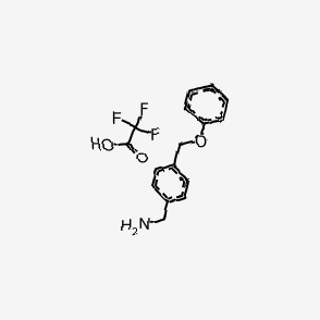 NCc1ccc(COc2ccccc2)cc1.O=C(O)C(F)(F)F